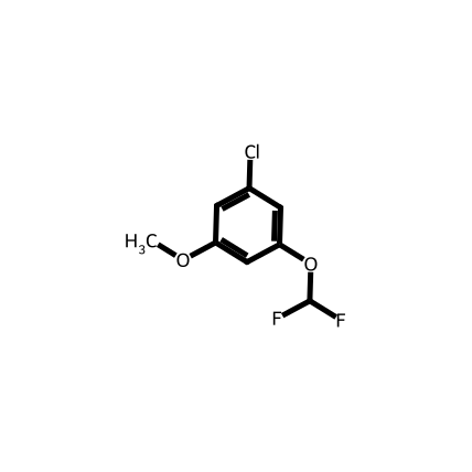 COc1cc(Cl)cc(OC(F)F)c1